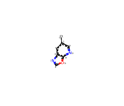 CCc1cnc2ocnc2c1